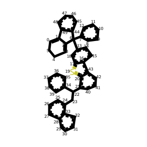 C1=C2C(=CCC1)C(c1ccccc1)(c1ccc3c(c1)sc1c(C(Cc4cccc5ccccc45)c4ccccc4)cccc13)c1ccccc12